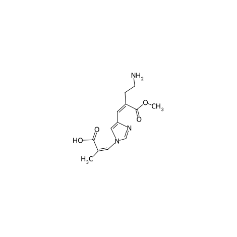 COC(=O)C(=Cc1cn(C=C(C)C(=O)O)cn1)CCN